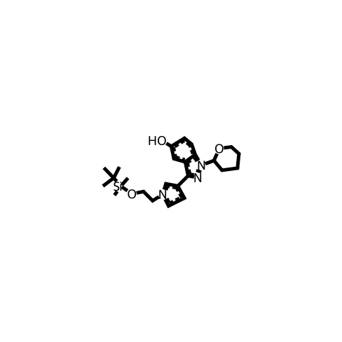 CC(C)(C)[Si](C)(C)OCCn1ccc(-c2nn(C3CCCCO3)c3ccc(O)cc23)c1